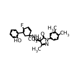 CC1=NN(c2ccc(C)c(C)c2)C(=O)C1=NNC1(C(=O)O)C=CC(F)=C(c2ccccc2O)C1